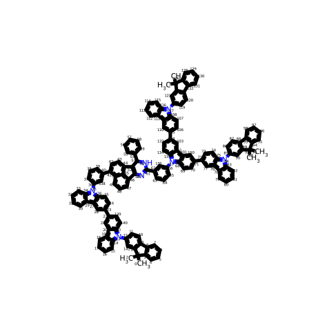 CC1(C)c2ccccc2-c2ccc(-n3c4ccccc4c4cc(-c5ccc6c(c5)c5ccccc5n6-c5cccc(-c6ccc7c8c(cccc68)C6=C7C(c7ccccc7)NC(c7cccc(-n8c9ccc(-c%10ccc%11c(c%10)c%10ccccc%10n%11-c%10ccc%11c(c%10)C(C)(C)c%10ccccc%10-%11)cc9c9cc(-c%10ccc%11c(c%10)c%10ccccc%10n%11-c%10ccc%11c(c%10)C(C)(C)c%10ccccc%10-%11)ccc98)c7)=N6)c5)ccc43)cc21